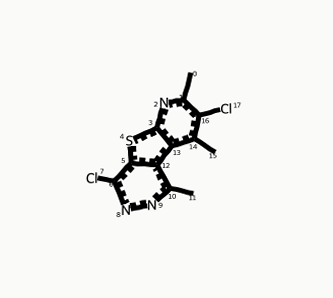 Cc1nc2sc3c(Cl)nnc(C)c3c2c(C)c1Cl